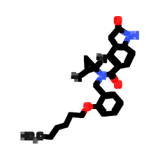 [2H]C1CC1([2H])N(Cc1ccccc1OCCCCCC(=O)O)C(=O)c1ccc2c(c1)CC(=O)N2